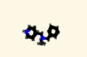 [CH2]CCN(Cc1ccccc1)Cc1ccncc1